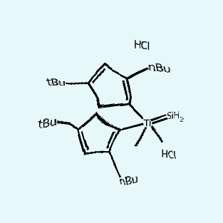 CCCCC1=[C]([Ti]([CH3])([CH3])(=[SiH2])[C]2=C(CCCC)C=C(C(C)(C)C)C2)CC(C(C)(C)C)=C1.Cl.Cl